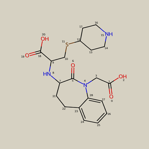 O=C(O)CN1C(=O)C(NC(CSC2CCNCC2)C(=O)O)CCc2ccccc21